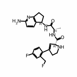 C[C@H](NC(=O)[C@H]1C=C(c2ccc(F)cc2CF)CCN1)C(=O)N[C@@H]1CCc2nc(N)ccc21